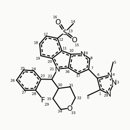 Cc1nnn(C)c1-c1cnc2c3c(S(C)(=O)=O)cccc3n(C(c3ccccc3F)C3CCOCC3)c2c1